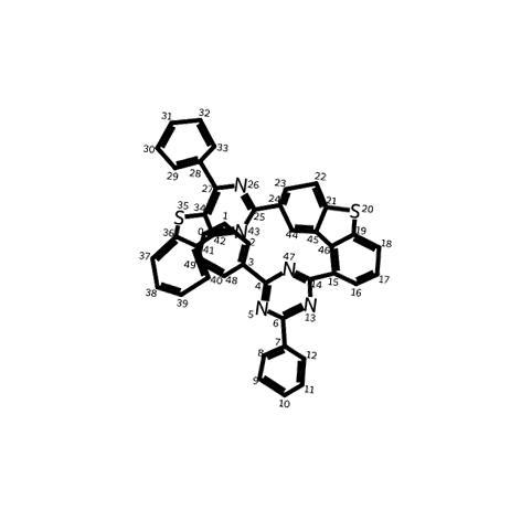 c1ccc(-c2nc(-c3ccccc3)nc(-c3cccc4sc5ccc(-c6nc(-c7ccccc7)c7sc8ccccc8c7n6)cc5c34)n2)cc1